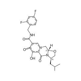 CC(C)C[C@@H]1CO[C@H]2Cn3cc(C(=O)NCc4ccc(F)cc4F)c(=O)c(O)c3C(=O)N12